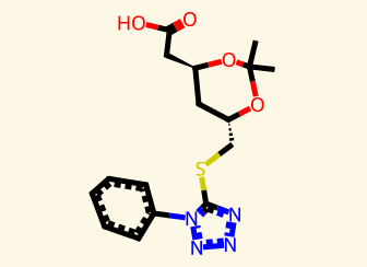 CC1(C)O[C@H](CSc2nnnn2-c2ccccc2)C[C@@H](CC(=O)O)O1